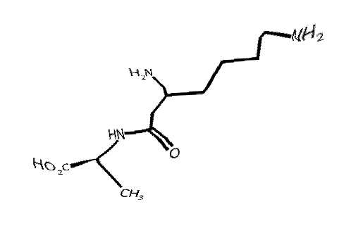 C[C@H](NC(=O)C(N)CCCCN)C(=O)O